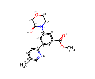 COC(=O)c1cc(-c2ccc(C)cn2)cc(N2CCOCC2=O)c1